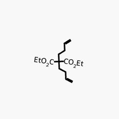 C=CCCC(CCC=C)(C(=O)OCC)C(=O)OCC